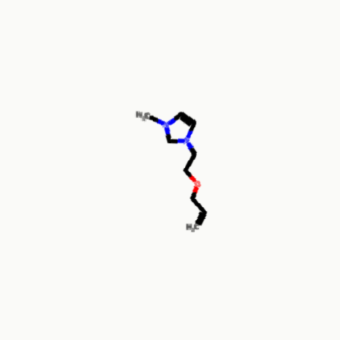 C=CCOCCN1C=CN(C)C1